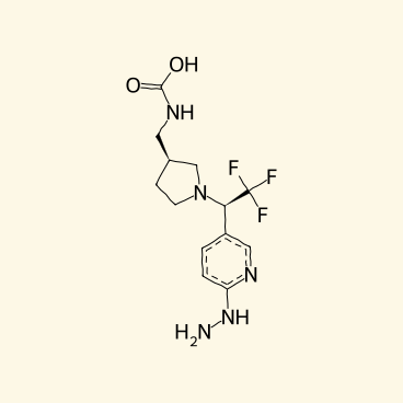 NNc1ccc([C@@H](N2CC[C@@H](CNC(=O)O)C2)C(F)(F)F)cn1